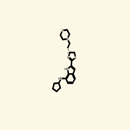 c1cc(NC2CCCC2)c2[nH]c(C3=N[C@H](CCN4CCOCC4)CS3)cc2c1